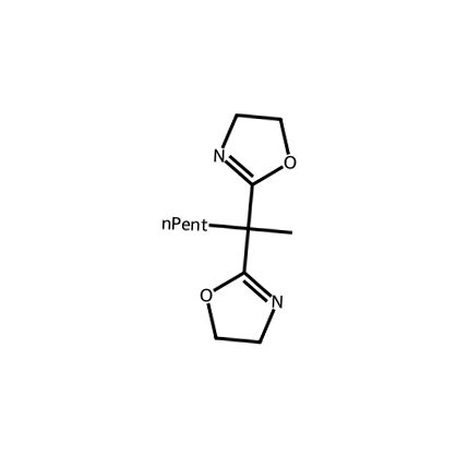 CCCCCC(C)(C1=NCCO1)C1=NCCO1